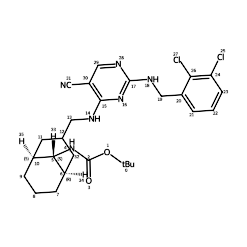 CC(C)(C)OC(=O)N[C@@H]1[C@@H]2CCC[C@H]1CC(CNc1nc(NCc3cccc(Cl)c3Cl)ncc1C#N)C2